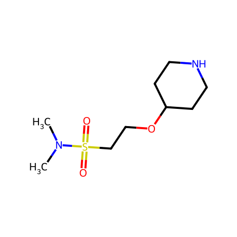 CN(C)S(=O)(=O)CCOC1CCNCC1